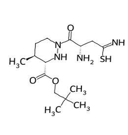 C[C@H]1CCN(C(=O)[C@@H](N)CC(=N)S)N[C@@H]1C(=O)OCC(C)(C)C